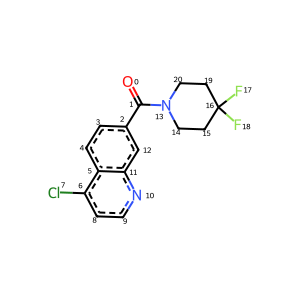 O=C(c1ccc2c(Cl)ccnc2c1)N1CCC(F)(F)CC1